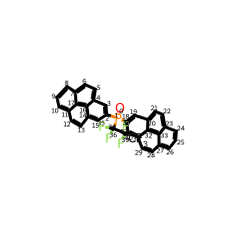 O=P(c1cc2ccc3cccc4ccc(c1)c2c34)(c1cc2ccc3cccc4ccc(c1)c2c34)C(F)(F)C(F)(F)C(F)(F)F